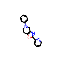 c1ccc(N2CCc3oc(-c4ccccn4)nc3C2)cc1